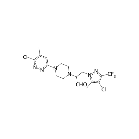 Cc1cc(N2CCN(C(C=O)Cn3nc(C(F)(F)F)c(Cl)c3C)CC2)nnc1Cl